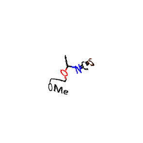 COCCOC(C)N=C=S